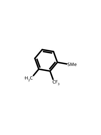 [CH2]c1cccc(SC)c1C(F)(F)F